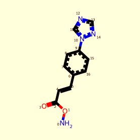 NOC(=O)C=Cc1ccc(-n2cncn2)cc1